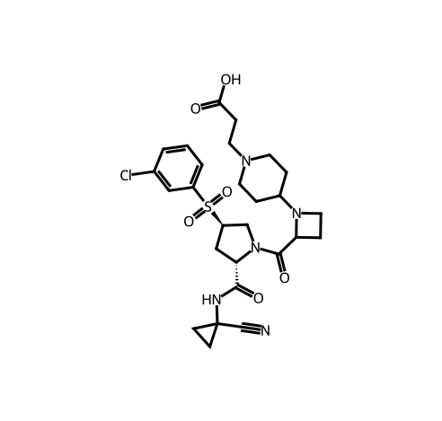 N#CC1(NC(=O)[C@@H]2C[C@@H](S(=O)(=O)c3cccc(Cl)c3)CN2C(=O)C2CCN2C2CCN(CCC(=O)O)CC2)CC1